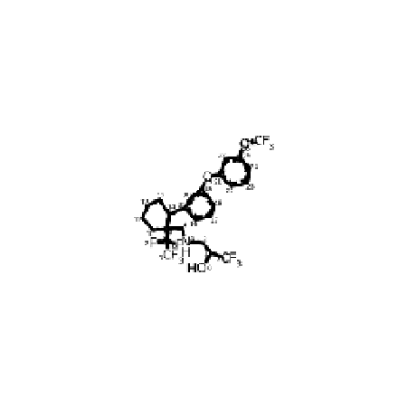 OC(CNCC1(C(F)(F)C(F)(F)F)CCCCC1c1cccc(Oc2cccc(OC(F)(F)F)c2)c1)C(F)(F)F